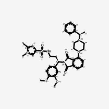 COc1ccc([C@@H](CCNS(=O)(=O)c2cn(C)c(C)n2)N2C(=O)c3cccc(N4CCN([C@H](C)c5ccccc5)CC4)c3C2=O)cc1OC